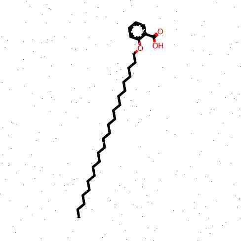 CCCCCCCCCCCCCCCCCCCCCCCCOc1ccccc1C(=O)O